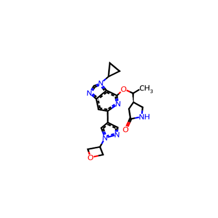 CC(Oc1nc(-c2cnn(C3COC3)c2)cc2ncn(C3CC3)c12)[C@H]1CNC(=O)C1